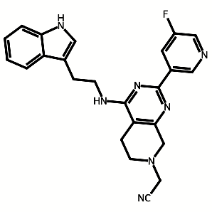 N#CCN1CCc2c(nc(-c3cncc(F)c3)nc2NCCc2c[nH]c3ccccc23)C1